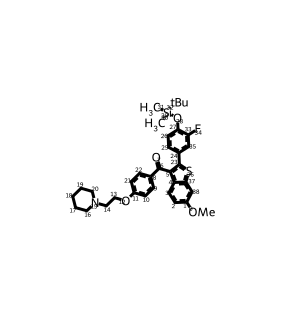 COc1ccc2c(C(=O)c3ccc(OCCN4CCCCC4)cc3)c(-c3ccc(O[Si](C)(C)C(C)(C)C)c(F)c3)sc2c1